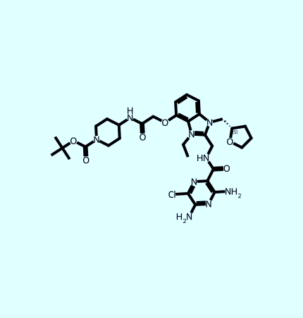 CC[n+]1c(CNC(=O)c2nc(Cl)c(N)nc2N)n(C[C@@H]2CCCO2)c2cccc(OCC(=O)NC3CCN(C(=O)OC(C)(C)C)CC3)c21